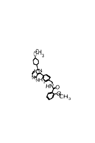 COc1ccccc1C(=O)NCc1ccc(-c2nc(C3CCC(OC)CC3)n3ccnc(N)c23)cc1